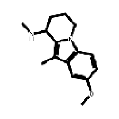 CNC1CCCn2c1c(C)c1cc(OC)ccc12